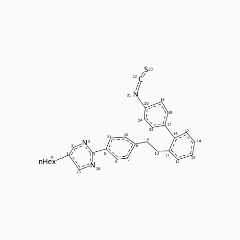 CCCCCCc1cnc(-c2ccc(CCc3ccccc3-c3ccc(N=C=S)cc3)cc2)nc1